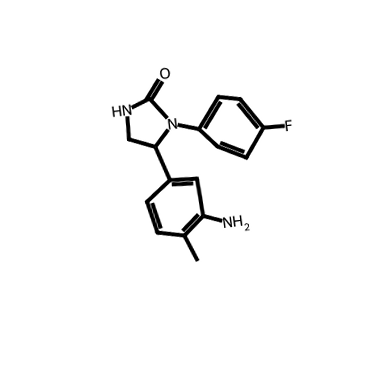 Cc1ccc(C2CNC(=O)N2c2ccc(F)cc2)cc1N